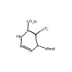 CCCCCC1N=NNN(C(=O)O)C1C(F)(F)F